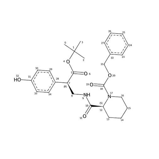 CC(C)(C)OC(=O)[C@@H](CNC(=O)[C@@H]1CCCCN1C(=O)OCc1ccccc1)c1ccc(O)cc1